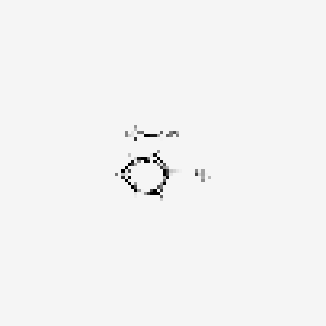 CC=O.FC(F)(F)c1ccccc1